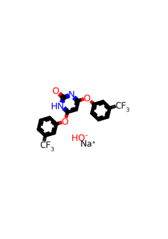 O=c1nc(Oc2cccc(C(F)(F)F)c2)cc(Oc2cccc(C(F)(F)F)c2)[nH]1.[Na+].[OH-]